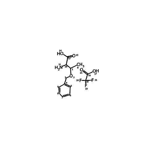 CC(OCc1ccccc1)C(N)C(=O)O.O=C(O)C(F)(F)F